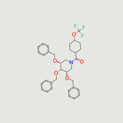 O=C(C1CCC(OC(F)(F)F)CC1)N1C[C@H](OCc2ccccc2)C(OCc2ccccc2)[C@H](OCc2ccccc2)C1